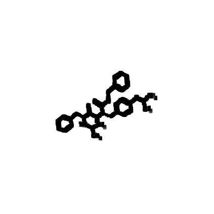 CC(C)N[C@@H](Cc1ccccc1)C(=O)N[C@@H](Cc1ccc(OC(C)C)cc1)C(=O)OCc1ccccc1